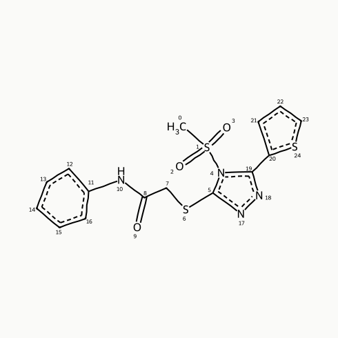 CS(=O)(=O)n1c(SCC(=O)Nc2ccccc2)nnc1-c1cccs1